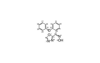 ON=C(c1nnco1)c1ccccc1Oc1ccccc1